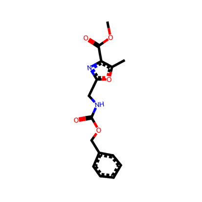 COC(=O)c1nc(CNC(=O)OCc2ccccc2)oc1C